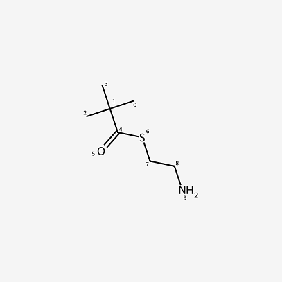 CC(C)(C)C(=O)SCCN